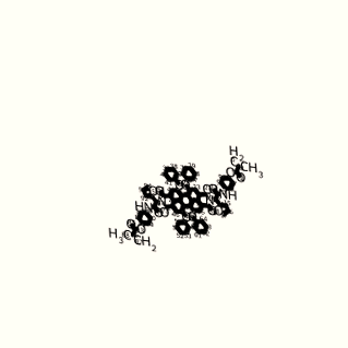 C=C(C)C(=O)Oc1ccc(NC(=O)C(c2ccco2)N2C(=O)c3cc(Oc4ccccc4)c4c5c(Oc6ccccc6)cc6c7c(cc(Oc8ccccc8)c(c8c(Oc9ccccc9)cc(c3c48)C2=O)c75)C(=O)N(C(C(=O)Nc2ccc(OC(=O)C(=C)C)cc2)c2ccco2)C6=O)cc1